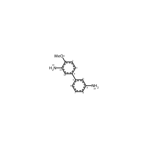 COc1ccc(-c2cccc(N)c2)cc1N